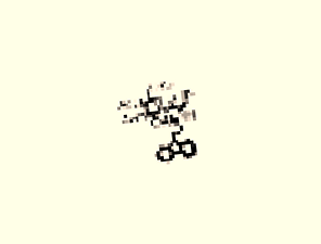 CC(=O)OC[C@H]1O[C@@H](SC(=O)C(CC(C)C)NC(=O)OCC2c3ccccc3-c3ccccc32)[C@H](OC(C)=O)[C@@H](OC(C)=O)[C@@H]1OC(C)=O